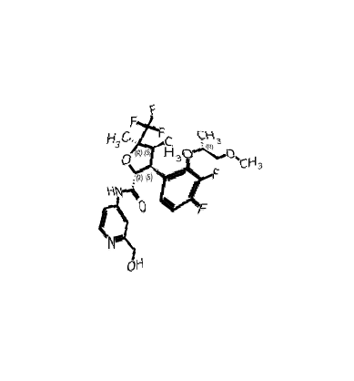 COC[C@@H](C)Oc1c([C@H]2[C@H](C(=O)Nc3ccnc(CO)c3)O[C@@](C)(C(F)(F)F)[C@H]2C)ccc(F)c1F